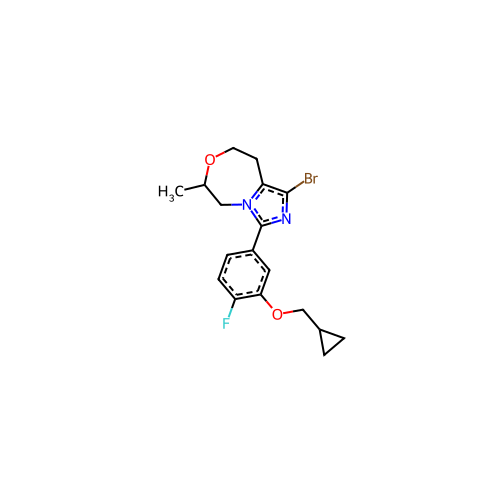 CC1Cn2c(-c3ccc(F)c(OCC4CC4)c3)nc(Br)c2CCO1